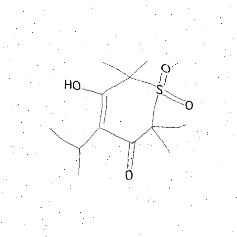 CC(C)C1=C(O)C(C)(C)S(=O)(=O)C(C)(C)C1=O